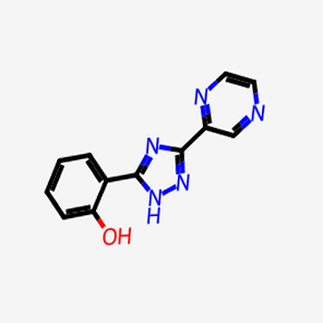 Oc1ccccc1-c1nc(-c2cnccn2)n[nH]1